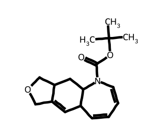 CC(C)(C)OC(=O)N1C=CC=CC2C=C3COCC3CC21